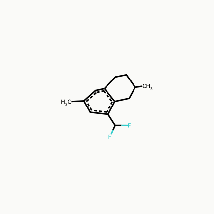 Cc1cc2c(c(C(F)F)c1)CC(C)CC2